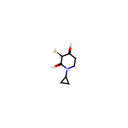 O=C1CCN(C2CC2)C(=O)C1Br